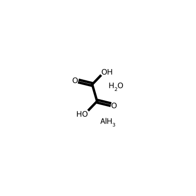 O.O=C(O)C(=O)O.[AlH3]